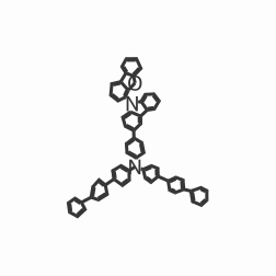 c1ccc(-c2ccc(-c3ccc(N(c4ccc(-c5ccc(-c6ccccc6)cc5)cc4)c4ccc(-c5ccc6c(c5)c5ccccc5n6-c5cccc6c5oc5ccccc56)cc4)cc3)cc2)cc1